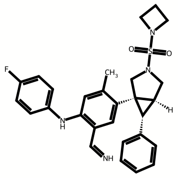 Cc1cc(Nc2ccc(F)cc2)c(C=N)cc1[C@]12CN(S(=O)(=O)N3CCC3)C[C@H]1[C@@H]2c1ccccc1